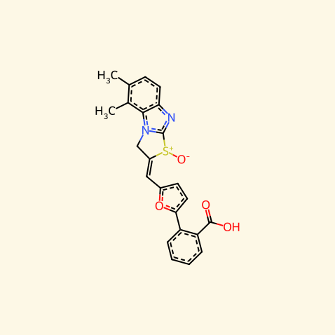 Cc1ccc2nc3n(c2c1C)C/C(=C/c1ccc(-c2ccccc2C(=O)O)o1)[S+]3[O-]